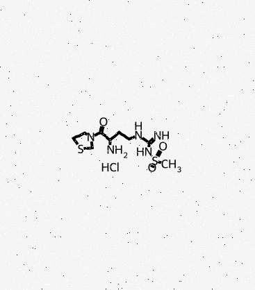 CS(=O)(=O)NC(=N)NCCC(N)C(=O)N1CCSC1.Cl